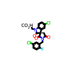 O=C(O)CN1C(=O)[C@]2(CC(=O)N(Cc3cc(Cl)ccc3F)C2=O)c2cc(Cl)ccc21